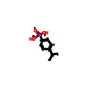 CC(C)c1ccc(P(=O)(O)O)cc1